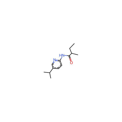 CCC(C)C(=O)Nc1ccc(C(C)C)cn1